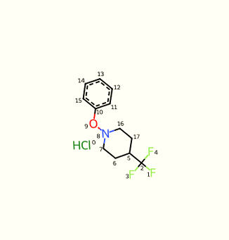 Cl.FC(F)(F)C1CCN(Oc2ccccc2)CC1